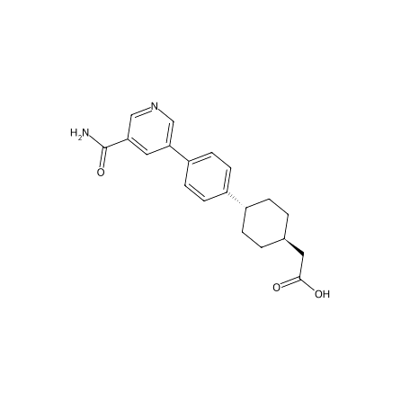 NC(=O)c1cncc(-c2ccc([C@H]3CC[C@H](CC(=O)O)CC3)cc2)c1